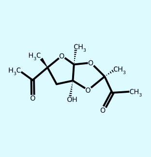 CC(=O)[C@]1(C)O[C@]2(C)O[C@@](C)(C(C)=O)C[C@]2(O)O1